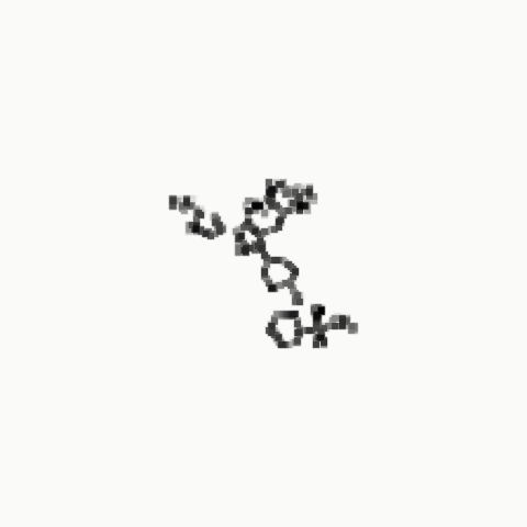 C=N/C(=C\c1c(C)c(-c2cnn(C)c2)nn1C1CCC(Oc2ccccc2S(C)(=O)=O)CC1)NC